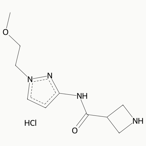 COCCn1ccc(NC(=O)C2CNC2)n1.Cl